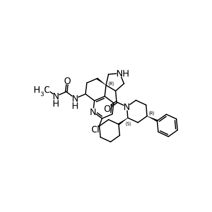 CNC(=O)NC1CC[C@]2(CNCC2C(=O)N2CC[C@@H](c3ccccc3)C[C@H]2C2CCCCC2)c2ccc(Cl)nc21